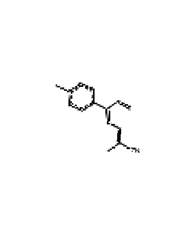 C=C/C(=C\C=C(/C)C#N)c1ccc(C)cc1